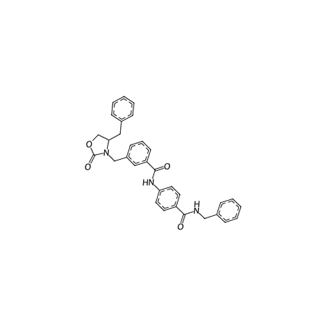 O=C(NCc1ccccc1)c1ccc(NC(=O)c2cccc(CN3C(=O)OCC3Cc3ccccc3)c2)cc1